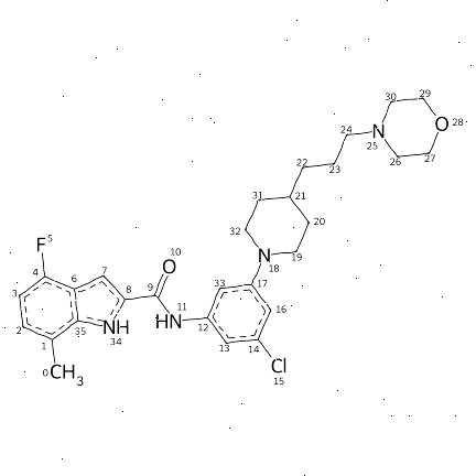 Cc1ccc(F)c2cc(C(=O)Nc3cc(Cl)cc(N4CCC(CCCN5CCOCC5)CC4)c3)[nH]c12